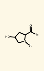 CCC(=O)C1CC(O)CN1CC